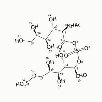 CC(=O)N[C@@H](C(=O)OS(=O)(=O)O[C@@H](C=O)[C@@H](O)[C@@H](O)[C@H](O)COS(=O)(=O)O)[C@@H](O)[C@@H](O)[C@H](O)CO